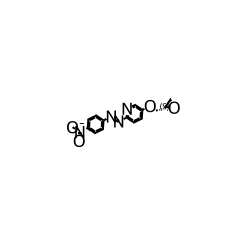 O=[N+]([O-])c1ccc(N=Nc2ccc(OC[C@@H]3CO3)cn2)cc1